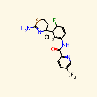 C[C@@]1(C2C=C(NC(=O)c3ccc(C(F)(F)F)cn3)C=CC2F)CCSC(N)=N1